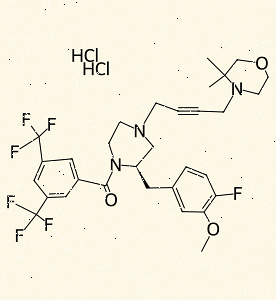 COc1cc(C[C@@H]2CN(CC#CCN3CCOCC3(C)C)CCN2C(=O)c2cc(C(F)(F)F)cc(C(F)(F)F)c2)ccc1F.Cl.Cl